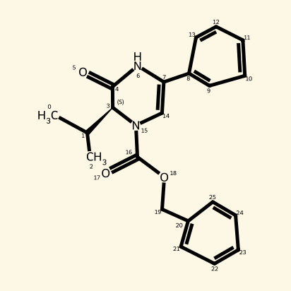 CC(C)[C@H]1C(=O)NC(c2ccccc2)=CN1C(=O)OCc1ccccc1